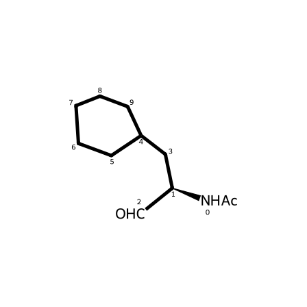 CC(=O)N[C@@H](C=O)CC1CCCCC1